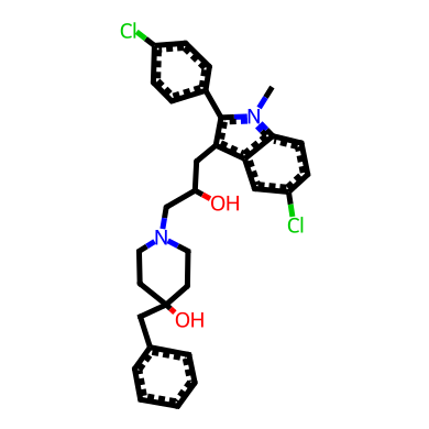 Cn1c(-c2ccc(Cl)cc2)c(CC(O)CN2CCC(O)(Cc3ccccc3)CC2)c2cc(Cl)ccc21